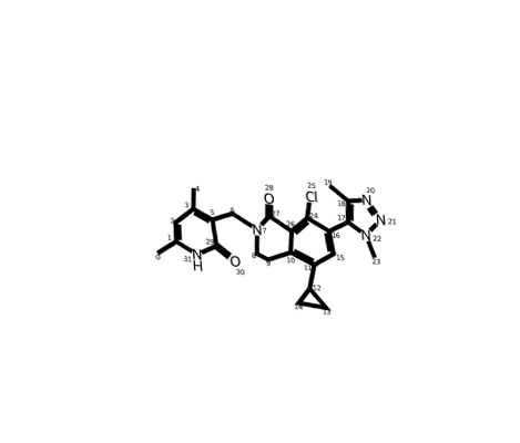 Cc1cc(C)c(CN2CCc3c(C4CC4)cc(-c4c(C)nnn4C)c(Cl)c3C2=O)c(=O)[nH]1